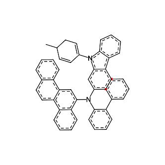 CC1C=CC(n2c3ccccc3c3ccc(N(c4ccccc4-c4ccccc4)c4cc5c6ccccc6ccc5c5ccccc45)cc32)=CC1